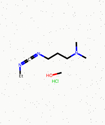 CCN=C=NCCCN(C)C.CO.Cl